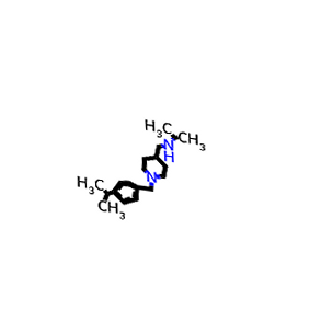 CC(C)NCC1CCN(Cc2ccc(C(C)C)cc2)CC1